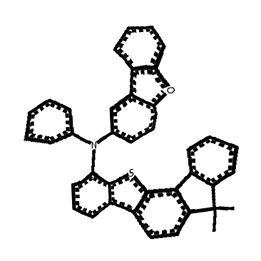 CC1(C)c2ccccc2-c2c1ccc1c2sc2c(N(c3ccccc3)c3ccc4oc5ccccc5c4c3)cccc21